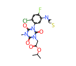 CC(C)OC(=O)Cn1c(=O)n(C)c(=O)n(-c2cc(N=C=S)c(F)cc2Cl)c1=O